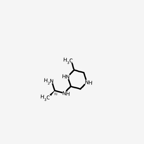 CC1CNCC(N[C@@H](C)N)N1